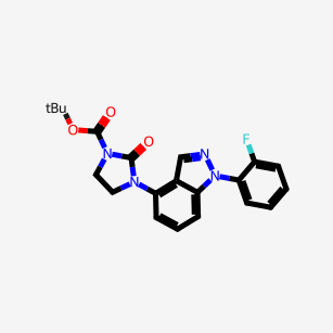 CC(C)(C)OC(=O)N1CCN(c2cccc3c2cnn3-c2ccccc2F)C1=O